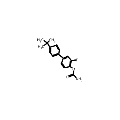 CC(C)(C)c1ccc(-c2ccc(OC(N)=O)c(F)c2)cc1